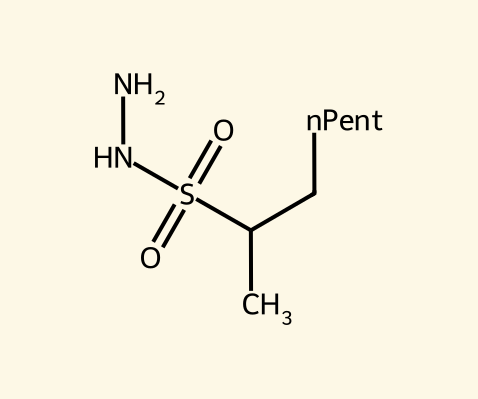 CCCCCCC(C)S(=O)(=O)NN